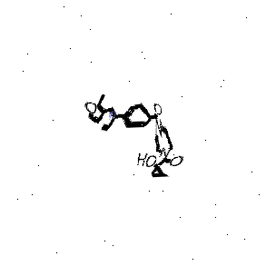 C=C/C(=C\c1ccoc1C)c1ccc(C(=O)N2CCN(C(=O)C3(O)CC3)CC2)cc1